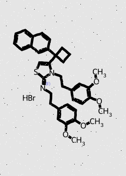 Br.COc1ccc(CC/N=c2/scc(C3(c4ccc5ccccc5c4)CCC3)n2CCc2ccc(OC)c(OC)c2)cc1OC